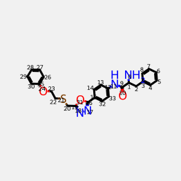 NC(Cc1ccccc1)C(=O)Nc1ccc(-c2nnc(CSCCOc3ccccc3)o2)cc1